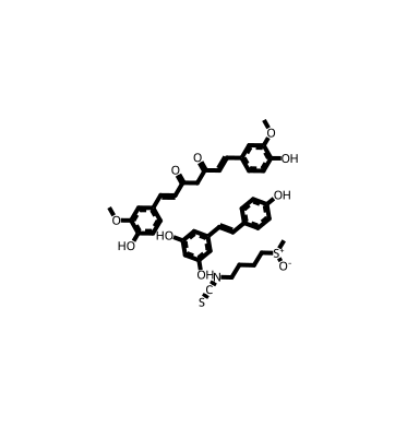 COc1cc(/C=C/C(=O)CC(=O)/C=C/c2ccc(O)c(OC)c2)ccc1O.C[S+]([O-])CCCCN=C=S.Oc1ccc(/C=C/c2cc(O)cc(O)c2)cc1